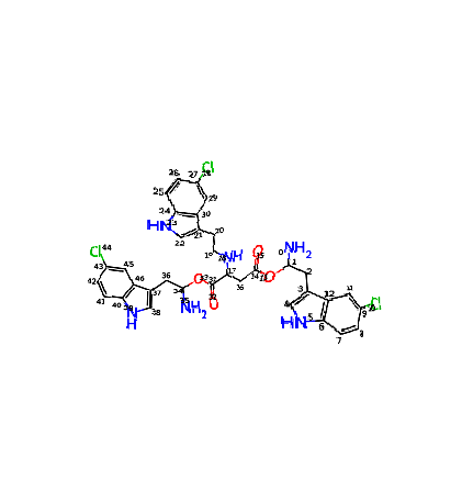 NC(Cc1c[nH]c2ccc(Cl)cc12)OC(=O)CC(NCCc1c[nH]c2ccc(Cl)cc12)C(=O)OC(N)Cc1c[nH]c2ccc(Cl)cc12